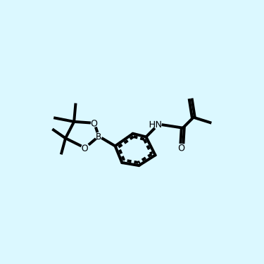 C=C(C)C(=O)Nc1cccc(B2OC(C)(C)C(C)(C)O2)c1